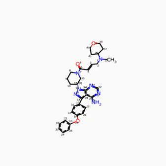 CN(CC=CC(=O)N1CCC[C@@H](n2nc(-c3ccc(Oc4ccccc4)cc3)c3c(N)ncnc32)C1)C1CCOCC1